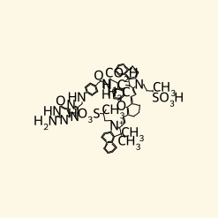 CC(CCN1/C(=C/C=C2\CCCC(/C=C/C3=[N+](CCC(C)S(=O)(=O)O)c4ccc5ccccc5c4C3(C)C)=C2Oc2ccc(C[C@H](NC(=O)c3ccc(NCc4cnc5nc(N)[nH]c(=O)c5n4)cc3)C(=O)O)cc2)C(C)(C)c2c1ccc1ccccc21)S(=O)(=O)O